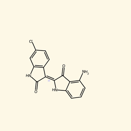 Nc1cccc2c1C(=O)/C(=C1/C(=O)Nc3cc(Cl)ccc31)N2